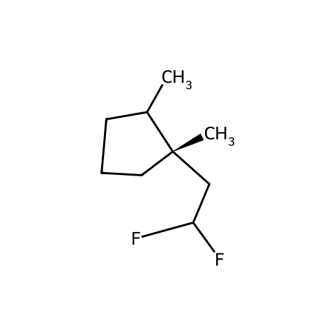 CC1CCC[C@@]1(C)CC(F)F